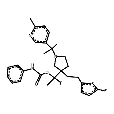 Cc1ccc(C(C)(C)N2CCC(CCc3ccc(F)s3)(C(C)(F)OC(=O)Nc3ccccc3)C2)cn1